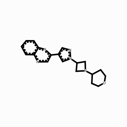 c1ccc2nc(-c3cnn(C4CN(C5CCOCC5)C4)c3)cnc2c1